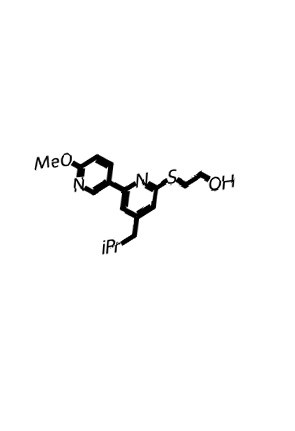 COc1ccc(-c2cc(CC(C)C)cc(SCCO)n2)cn1